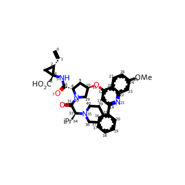 C=C[C@H]1C[C@]1(NC(=O)[C@@H]1C[C@@H](Oc2cc(-c3ccccc3)nc3cc(OC)ccc23)CN1C(=O)[C@H](C(C)C)N1CCCCC1)C(=O)O